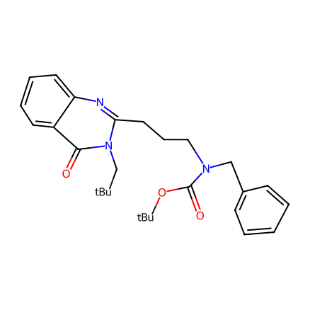 CC(C)(C)Cn1c(CCCN(Cc2ccccc2)C(=O)OC(C)(C)C)nc2ccccc2c1=O